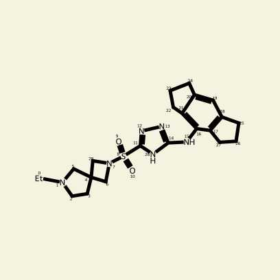 CCN1CCC2(C1)CN(S(=O)(=O)c1nnc(Nc3c4c(cc5c3CCC5)CCC4)[nH]1)C2